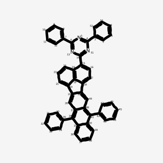 c1ccc(-c2nc(-c3ccccc3)nc(-c3ccc4c5c(cccc35)-c3cc5c(-c6ccccc6)c6ccccc6c(-c6ccccc6)c5cc3-4)n2)cc1